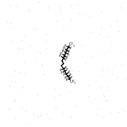 FC(F)(F)C(F)(F)C(F)(F)C(F)(F)C(F)(F)C(F)(F)CCCC(F)(F)C(F)(F)C(F)(F)C(F)(F)C(F)(F)C(F)(F)F